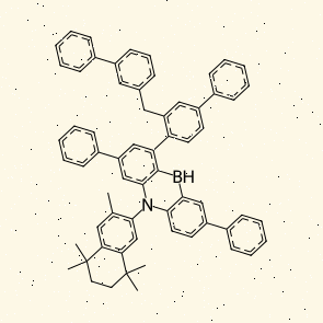 Cc1cc2c(cc1N1c3ccc(-c4ccccc4)cc3Bc3c(-c4ccc(-c5ccccc5)cc4Cc4cccc(-c5ccccc5)c4)cc(-c4ccccc4)cc31)C(C)(C)CCC2(C)C